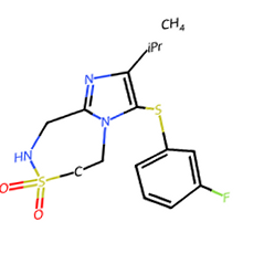 C.CC(C)c1nc2n(c1Sc1cccc(F)c1)CCS(=O)(=O)NC2